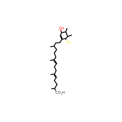 C/C(=C\CCC(C)C(=O)O)CC/C=C(\C)CCCC(C)CCC1=CC(O)C(C)C(C)C1S